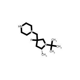 C[C@@H]1CC(F)(CN2CCNCC2)CN1C(C)(C)C